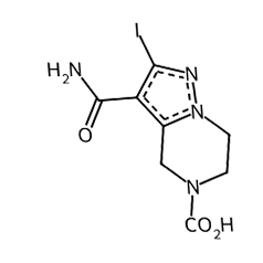 NC(=O)c1c(I)nn2c1CN(C(=O)O)CC2